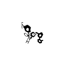 Cc1ccccc1-c1cccc(CN2CCC3(CC2)CNC(=O)N3c2cccc(F)c2)c1